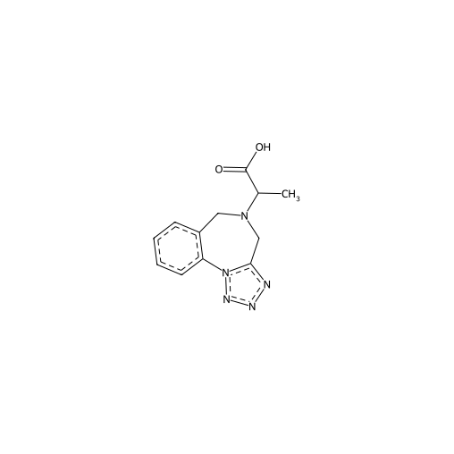 CC(C(=O)O)N1Cc2ccccc2-n2nnnc2C1